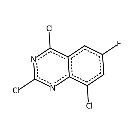 Fc1cc(Cl)c2nc(Cl)nc(Cl)c2c1